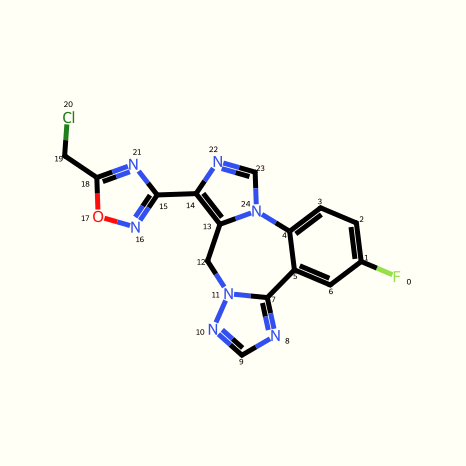 Fc1ccc2c(c1)-c1ncnn1Cc1c(-c3noc(CCl)n3)ncn1-2